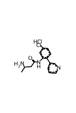 CC(N)CC(=O)Nc1cc(Cl)ccc1-c1cccnc1.Cl